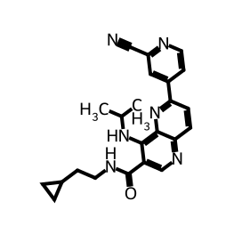 CC(C)Nc1c(C(=O)NCCC2CC2)cnc2ccc(-c3ccnc(C#N)c3)nc12